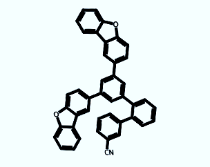 N#Cc1cccc(-c2ccccc2-c2cc(-c3ccc4oc5ccccc5c4c3)cc(-c3ccc4oc5ccccc5c4c3)c2)c1